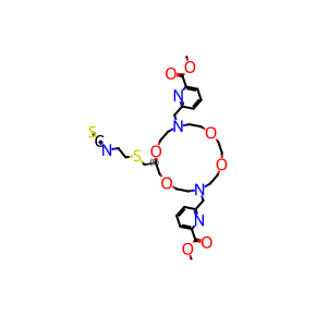 COC(=O)c1cccc(CN2CCOCCOCCN(Cc3cccc(C(=O)OC)n3)CCO[C@H](CSCCN=C=S)COCC2)n1